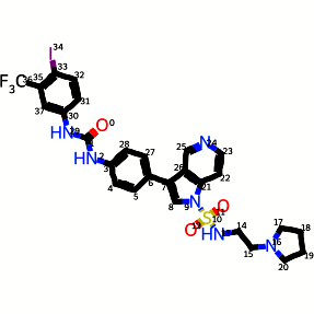 O=C(Nc1ccc(-c2cn(S(=O)(=O)NCCN3CCCC3)c3ccncc23)cc1)Nc1ccc(I)c(C(F)(F)F)c1